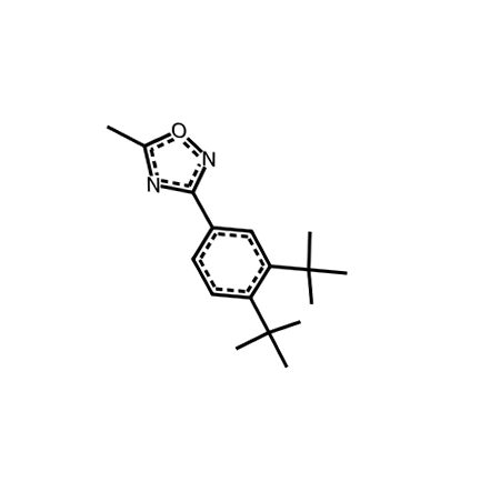 Cc1nc(-c2ccc(C(C)(C)C)c(C(C)(C)C)c2)no1